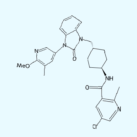 COc1ncc(-n2c(=O)n(C[C@H]3CC[C@H](NC(=O)c4cc(Cl)cnc4C)CC3)c3ccccc32)cc1C